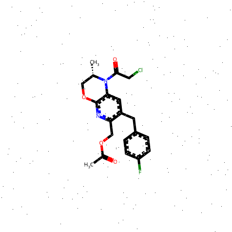 CC(=O)OCc1nc2c(cc1Cc1ccc(F)cc1)N(C(=O)CCl)[C@@H](C)CO2